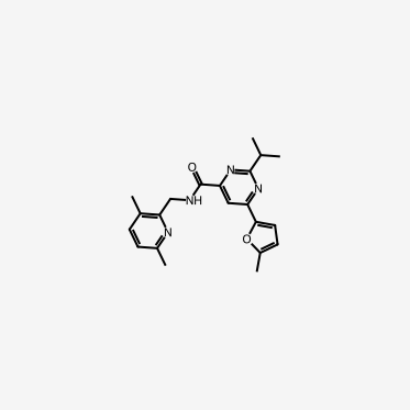 Cc1ccc(C)c(CNC(=O)c2cc(-c3ccc(C)o3)nc(C(C)C)n2)n1